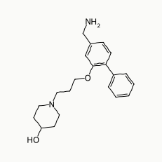 NCc1ccc(-c2ccccc2)c(OCCCN2CCC(O)CC2)c1